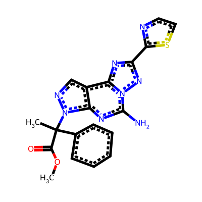 COC(=O)C(C)(c1ccccc1)n1ncc2c1nc(N)n1nc(-c3nccs3)nc21